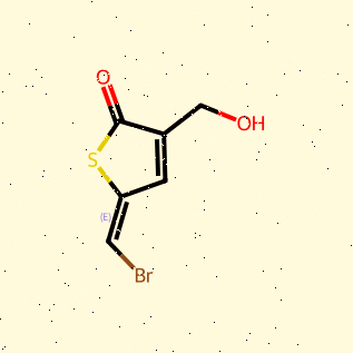 O=C1S/C(=C/Br)C=C1CO